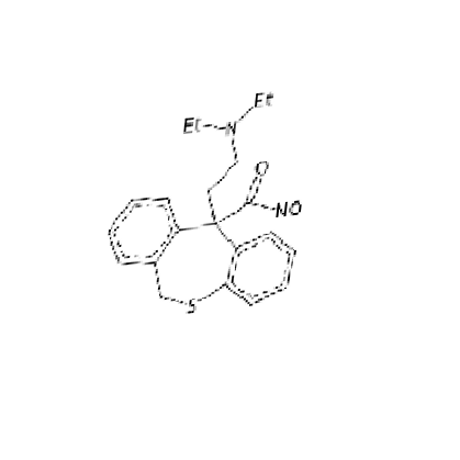 CCN(CC)CCC1(C(=O)N=O)c2ccccc2CSc2ccccc21